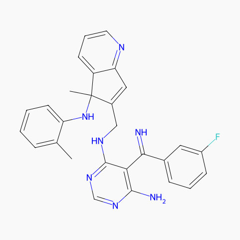 Cc1ccccc1NC1(C)C(CNc2ncnc(N)c2C(=N)c2cccc(F)c2)=Cc2ncccc21